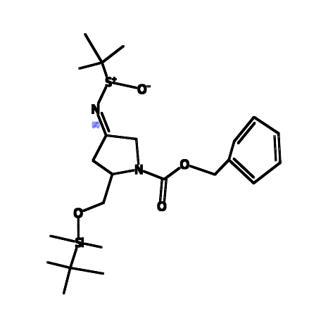 CC(C)(C)[S+]([O-])/N=C1/CC(CO[Si](C)(C)C(C)(C)C)N(C(=O)OCc2ccccc2)C1